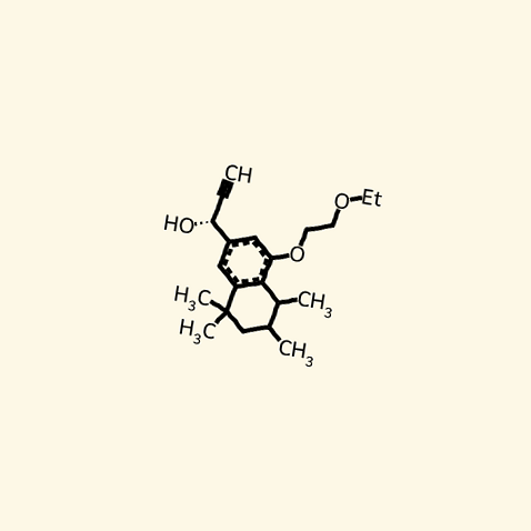 C#C[C@@H](O)c1cc(OCCOCC)c2c(c1)C(C)(C)CC(C)C2C